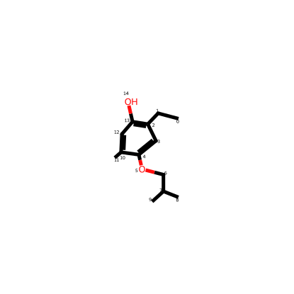 CCc1cc(OCC(C)C)c(C)cc1O